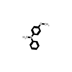 COc1ccc(N(C)c2cc[c]cc2)cc1